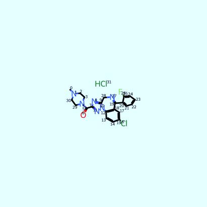 CN1CCN(C(=O)c2nc3n(n2)-c2ccc(Cl)cc2C(c2ccccc2F)=NC3)CC1.Cl